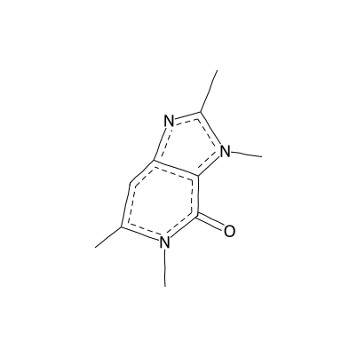 Cc1cc2nc(C)n(C)c2c(=O)n1C